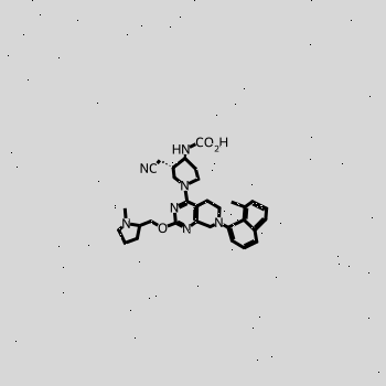 Cc1cccc2cccc(N3CCc4c(nc(OCC5CCCN5C)nc4N4CC[C@H](NC(=O)O)[C@@H](CC#N)C4)C3)c12